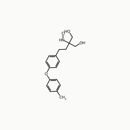 Cc1ccc(Oc2ccc(CCC(CO)(CO)NCl)cc2)cc1